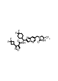 O=C(N[C@H](c1cn2ncc(CN3C[C@@H](C(F)(F)F)NC3=O)cc2n1)C1CCC(F)(F)CC1)c1conc1C1CC(F)(F)C1